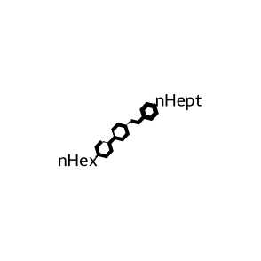 CCCCCCCc1ccc(CC[C@H]2CC[C@H]([C@H]3CC[C@H](CCCCCC)CC3)CC2)cc1